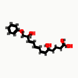 O=C(O)CCCC(O)\C=C/C=C/C=C/C(O)COc1ccccc1